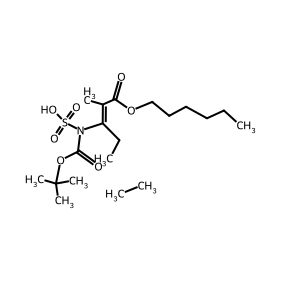 CC.CCCCCCOC(=O)C(C)=C(CC)N(C(=O)OC(C)(C)C)S(=O)(=O)O